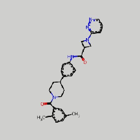 Cc1ccc(C)c(C(=O)N2CCC(c3ccc(NC(=O)C4CN(c5cccnn5)C4)cc3)CC2)c1